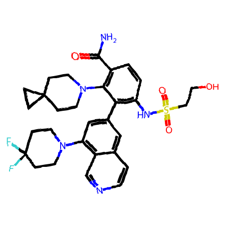 NC(=O)c1ccc(NS(=O)(=O)CCO)c(-c2cc(N3CCC(F)(F)CC3)c3cnccc3c2)c1N1CCC2(CC1)CC2